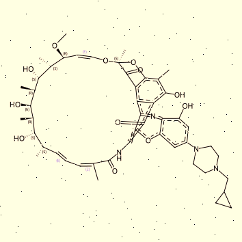 CO[C@H]1/C=C/O[C@@]2(C)Oc3c(C)c(O)c4c(=O)c(c5oc6cc(N7CCN(CC8CC8)CC7)cc(O)c6nc-5c4c3C2=O)NC(=O)/C(C)=C\C=C\[C@H](C)[C@H](O)[C@@H](C)[C@@H](O)[C@@H](C)[C@H](O)[C@@H]1C